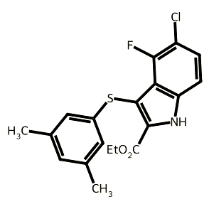 CCOC(=O)c1[nH]c2ccc(Cl)c(F)c2c1Sc1cc(C)cc(C)c1